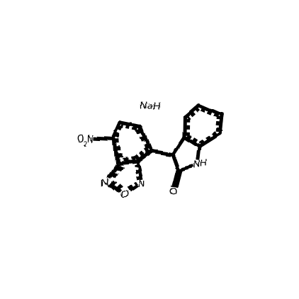 O=C1Nc2ccccc2C1c1ccc([N+](=O)[O-])c2nonc12.[NaH]